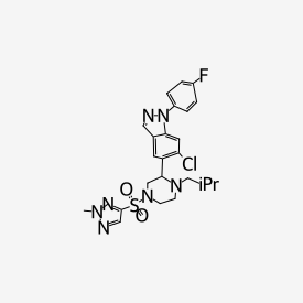 CC(C)CN1CCN(S(=O)(=O)c2cnn(C)n2)CC1c1cc2cnn(-c3ccc(F)cc3)c2cc1Cl